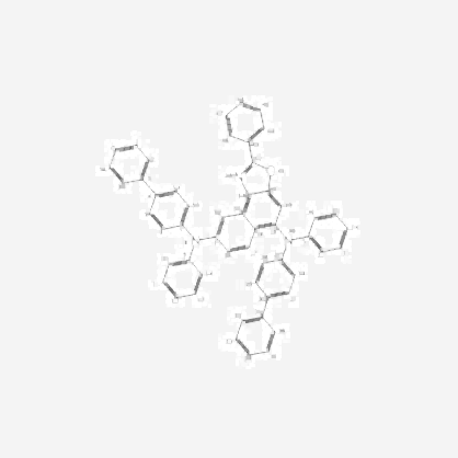 c1ccc(-c2ccc(N(c3ccccc3)c3ccc4c(N(c5ccccc5)c5ccc(-c6ccccc6)cc5)cc5oc(-c6ccccc6)nc5c4c3)cc2)cc1